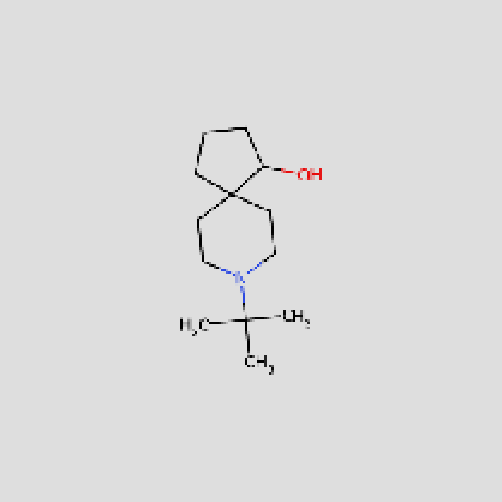 CC(C)(C)N1CCC2(CCCC2O)CC1